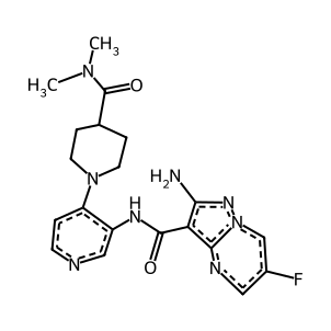 CN(C)C(=O)C1CCN(c2ccncc2NC(=O)c2c(N)nn3cc(F)cnc23)CC1